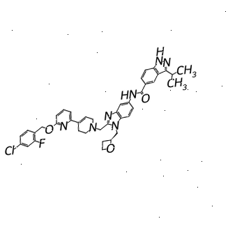 CC(C)c1n[nH]c2ccc(C(=O)Nc3ccc4c(c3)nc(CN3CC=C(c5cccc(OCc6ccc(Cl)cc6F)n5)CC3)n4C[C@@H]3CCO3)cc12